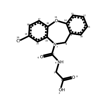 O=C(O)CNC(=O)N1Cc2ccccc2Oc2ccc(Cl)cc21